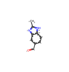 Cc1nc2cc([C]=O)ccc2[nH]1